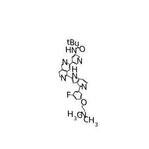 CN(C)CCOc1cc(F)cc(-c2nccc3[nH]c(C4=NCCc5cnc(-c6cncc(NC(=O)C(C)(C)C)c6)cc54)cc23)c1